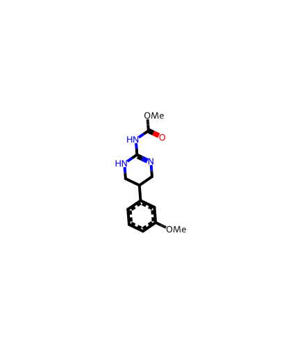 COC(=O)NC1=NCC(c2cccc(OC)c2)CN1